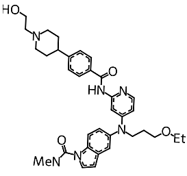 CCOCCCN(c1ccnc(NC(=O)c2ccc(C3CCN(CCO)CC3)cc2)c1)c1ccc2c(ccn2C(=O)NC)c1